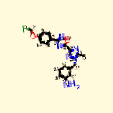 Cc1nc(-c2nc(-c3ccc(OCF)cc3)no2)nn1Cc1cccc(N)c1